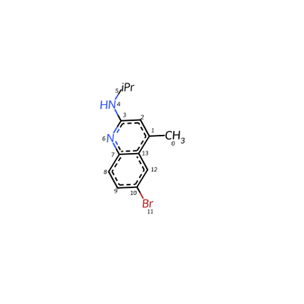 Cc1cc(NC(C)C)nc2ccc(Br)cc12